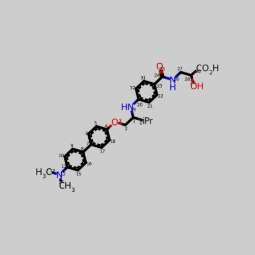 CC(C)C(COc1ccc(-c2ccc(N(C)C)cc2)cc1)Nc1ccc(C(=O)NCC(O)C(=O)O)cc1